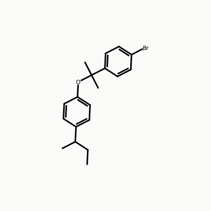 CCC(C)c1ccc(OC(C)(C)c2ccc(Br)cc2)cc1